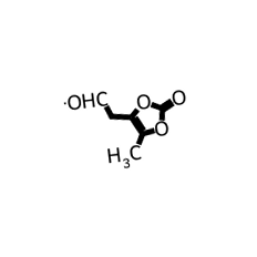 Cc1oc(=O)oc1C[C]=O